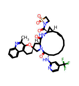 Cc1nc2ccccc2c2c1O[C@]1(CC2)C[C@H]2C(=O)N[C@]3(C(=O)N4CCS4(=O)=O)C[C@H]3/C=C\CCCCC[C@H](Nc3cc(C(F)(F)F)ccn3)C(=O)N2C1